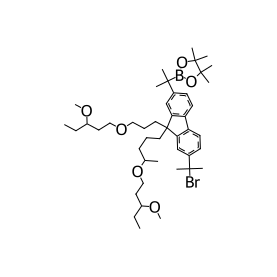 CCC(CCOCCCC1(CCCC(C)OCCC(CC)OC)c2cc(C(C)(C)Br)ccc2-c2ccc(C(C)(C)B3OC(C)(C)C(C)(C)O3)cc21)OC